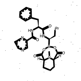 CC(C)C[C@H](NC(=O)[C@H](Cc1ccccc1)NC(=O)c1cnccn1)B1OC(=O)[C@H]2CCC[C@@H](C(=O)O1)N2C